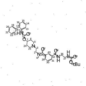 CN(CCN1CCC(OC(=O)Nc2ccccc2-c2ccccc2)CC1)C(=O)c1cccc(C(=O)NCCNC(=O)OC(C)(C)C)c1